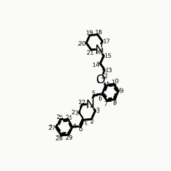 C(=C1CCN(Cc2ccccc2OCCCN2CCCCC2)CC1)c1ccccc1